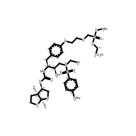 CCCCOP(=O)(COCCOc1ccc(C[C@H](NC(=O)O[C@H]2CO[C@H]3OCC[C@H]32)[C@H](O)CN(CC(C)C)S(=O)(=O)c2ccc(OC)cc2)cc1)OCC(=O)OCC